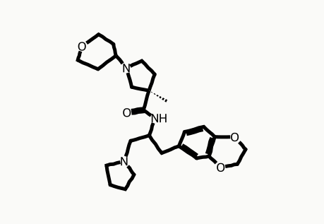 C[C@@]1(C(=O)NC(Cc2ccc3c(c2)OCCO3)CN2CCCC2)CCN(C2CCOCC2)C1